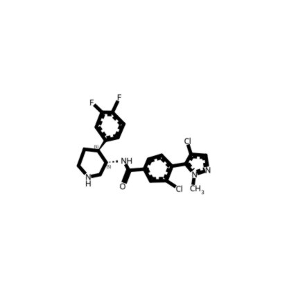 Cn1ncc(Cl)c1-c1ccc(C(=O)N[C@@H]2CNCC[C@H]2c2ccc(F)c(F)c2)cc1Cl